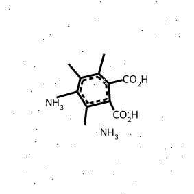 Cc1c(C)c(C)c(C(=O)O)c(C(=O)O)c1C.N.N